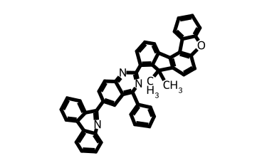 CC1(C)c2ccc3oc4ccccc4c3c2-c2cccc(-c3nc(-c4ccccc4)c4cc(-c5nc6ccccc6c6ccccc56)ccc4n3)c21